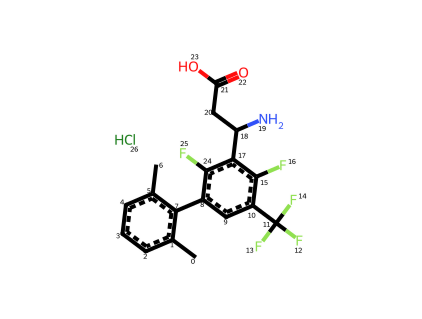 Cc1cccc(C)c1-c1cc(C(F)(F)F)c(F)c(C(N)CC(=O)O)c1F.Cl